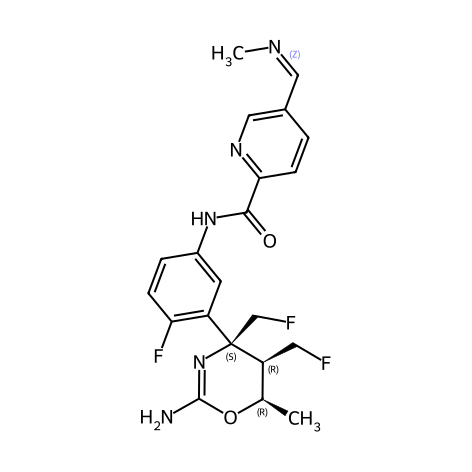 C/N=C\c1ccc(C(=O)Nc2ccc(F)c([C@@]3(CF)N=C(N)O[C@H](C)[C@@H]3CF)c2)nc1